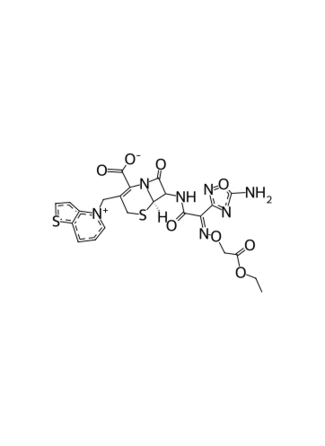 CCOC(=O)CO/N=C(/C(=O)NC1C(=O)N2C(C(=O)[O-])=C(C[n+]3cccc4sccc43)CS[C@H]12)c1noc(N)n1